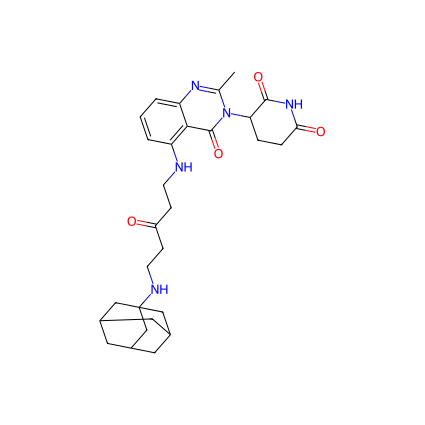 Cc1nc2cccc(NCCC(=O)CCNC34CC5CC(CC(C5)C3)C4)c2c(=O)n1C1CCC(=O)NC1=O